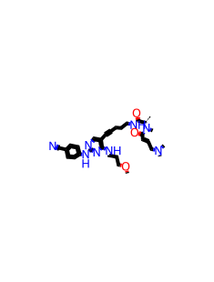 COCCCNc1nc(Nc2ccc(C#N)cc2)ncc1C#CCCCNC(=O)[C@H](C)N(C)C(=O)/C=C/CN(C)C